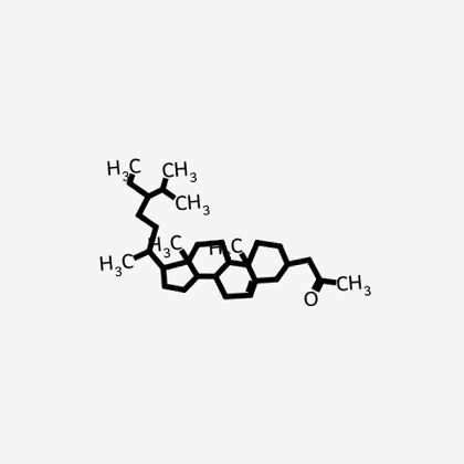 CCC(CCC(C)C1CCC2C3CC=C4CC(CC(C)=O)CCC4(C)C3CCC12C)C(C)C